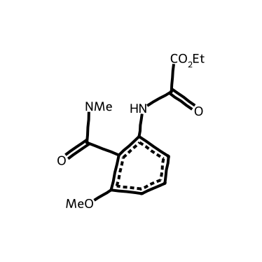 CCOC(=O)C(=O)Nc1cccc(OC)c1C(=O)NC